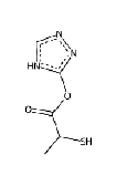 CC(S)C(=O)Oc1nnc[nH]1